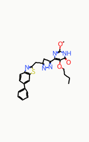 CCCCOc1c(C2=NN=C(Cc3nc4ccc(-c5ccccc5)cc4s3)C2)nc(OC)[nH]c1=O